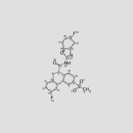 CS(=O)(=O)c1ccc(C(Cc2ccc(F)cc2)C(=O)Nc2nc3cc(F)ccc3o2)cc1